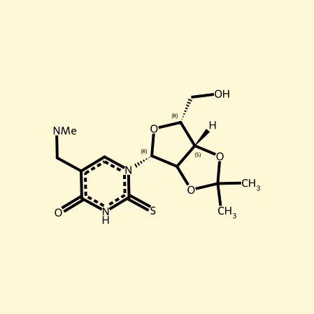 CNCc1cn([C@@H]2O[C@H](CO)[C@@H]3OC(C)(C)OC32)c(=S)[nH]c1=O